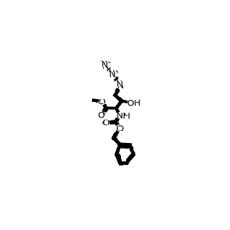 COC(=O)C(NC(=O)OCc1ccccc1)C(O)CN=[N+]=[N-]